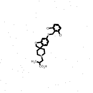 CC(CN1CCC2(CC1)COc1cc(SCc3c(Cl)cccc3Cl)ccc12)C(=O)O